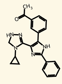 CC(=O)c1cccc(-c2[nH]c(-c3ccccc3)nc2C2=NNCN2C2CC2)c1